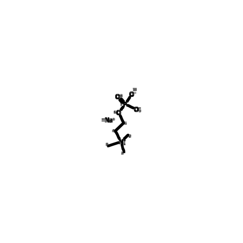 C[N+](C)(C)CCOP(=O)([O-])[O-].[Na+]